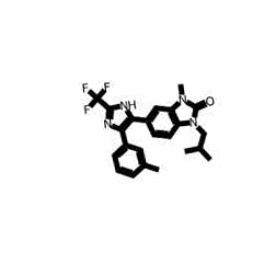 Cc1cccc(-c2nc(C(F)(F)F)[nH]c2-c2ccc3c(c2)n(C)c(=O)n3CC(C)C)c1